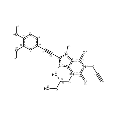 C#CCn1c(=O)c2c(nc(C#Cc3ccc(OC)c(OC)c3)n2C)n(C[C@@H](O)CO)c1=O